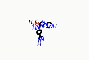 COc1cnc(N2CCCNCC2)nc1Nc1ccc(-c2cn[nH]c2)cc1